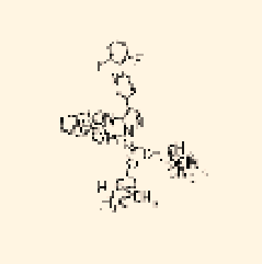 C[Si](C)(C)CCOCN(COCC[Si](C)(C)C)c1cc(C2CC3CCC(C2)N3C(=O)O)nc2c(-c3ccc(-c4c(F)cccc4F)nc3)cnn12